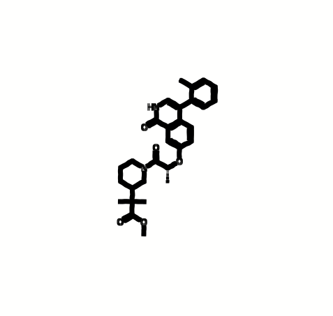 COC(=O)C(C)(C)C1CCCN(C(=O)[C@@H](C)Oc2ccc3c(-c4ccccc4C)c[nH]c(=O)c3c2)C1